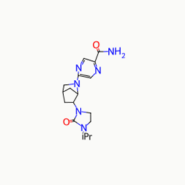 CC(C)N1CCN(C2CC3CC2N(c2cnc(C(N)=O)cn2)C3)C1=O